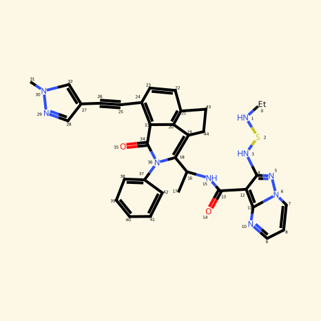 CCNSNc1nn2cccnc2c1C(=O)NC(C)c1c2c3c(ccc(C#Cc4cnn(C)c4)c3c(=O)n1-c1ccccc1)CC2